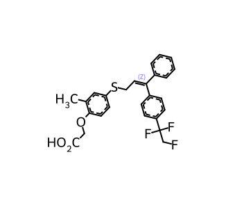 Cc1cc(SC/C=C(/c2ccccc2)c2ccc(C(F)(F)CF)cc2)ccc1OCC(=O)O